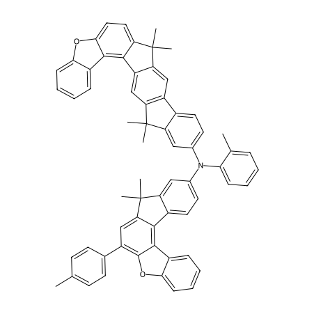 Cc1ccc(-c2cc3c(c4c2oc2ccccc24)-c2ccc(N(c4ccc5c(c4)C(C)(C)c4cc6c(cc4-5)C(C)(C)c4ccc5oc7ccccc7c5c4-6)c4ccccc4C)cc2C3(C)C)cc1